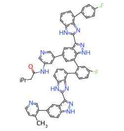 Cc1ccncc1-c1ccc2[nH]nc(-c3nc4c(-c5ccc(F)cc5-c5cc(-c6cncc(NC(=O)CC(C)C)c6)cc6c(-c7nc8c(-c9ccc(F)cc9)cccc8[nH]7)n[nH]c56)cccc4[nH]3)c2c1